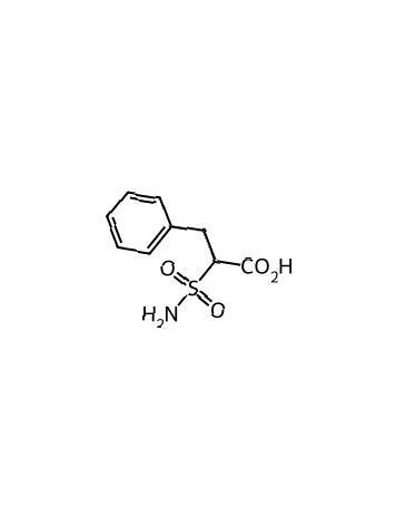 NS(=O)(=O)C(Cc1ccccc1)C(=O)O